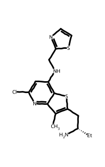 CC[C@H](N)Cc1sc2c(NCc3nccs3)cc(Cl)nc2c1C